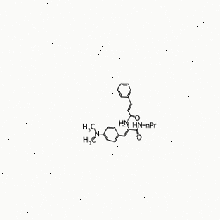 CCCNC(=O)/C(=C/c1ccc(N(C)C)cc1)NC(=O)C=Cc1ccccc1